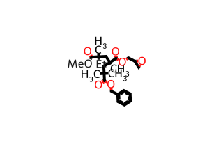 CCC(C)(CC(C)(CC(C)(C)C(=O)OCc1ccccc1)C(=O)OCC1CO1)C(=O)OC